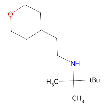 CC(C)(C)C(C)(C)NCCC1CCOCC1